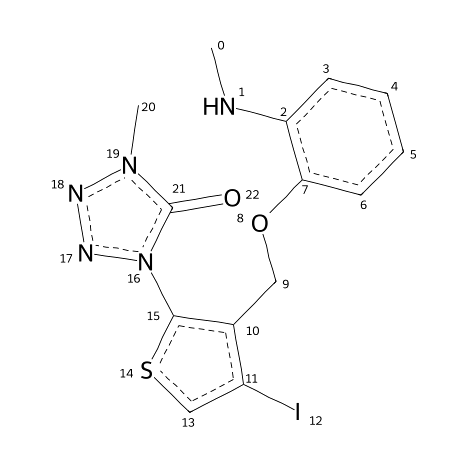 CNc1ccccc1OCc1c(I)csc1-n1nnn(C)c1=O